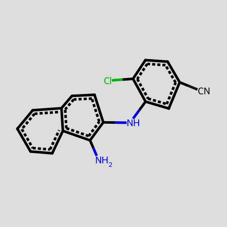 N#Cc1ccc(Cl)c(Nc2ccc3ccccc3c2N)c1